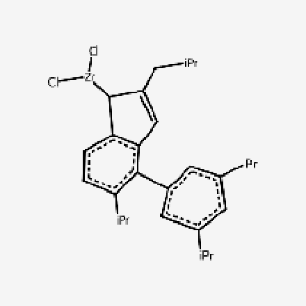 CC(C)CC1=Cc2c(ccc(C(C)C)c2-c2cc(C(C)C)cc(C(C)C)c2)[CH]1[Zr]([Cl])[Cl]